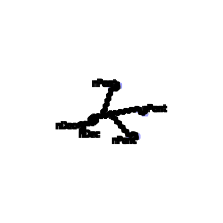 CCCCC/C=C\C/C=C\CCCCCCCCN(CCCCCCCC/C=C\C/C=C\CCCCC)CCN(CCCCCCCC/C=C\C/C=C\CCCCC)CCN1CCN(CCN(CCCCCCCCCCCC)CCCCCCCCCCCC)CC1